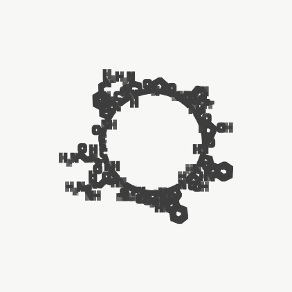 CCCC[C@H]1C(=O)N(C)[C@@H](CCCC)C(=O)N[C@@H](CCCNC(=N)N)C(=O)N[C@H](C(=O)NCC(N)=O)CSCC(=O)N[C@@H](Cc2ccc(CN)cc2)C(=O)N(C)[C@@H](C)C(=O)N[C@@H](CC(N)=O)C(=O)N2CCC[C@H]2C(=O)N[C@@H](Cc2cnc[nH]2)C(=O)N[C@@H](CC(C)C)C(=O)N2C[C@H](O)C[C@H]2C(=O)N[C@@H](Cc2c[nH]c3ccccc23)C(=O)N[C@@H](CO)C(=O)N[C@@H](Cc2c[nH]c3ccccc23)C(=O)N1C